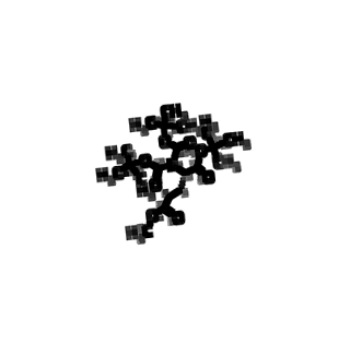 COC(=O)CC[C@@H](C(=O)OC(C)(C)C)N(C(=O)OC(C)(C)C)C(=O)OC(C)(C)C